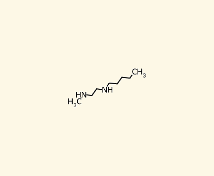 CCCCCNCCNC